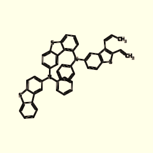 C=Cc1sc2ccc(N(c3ccccc3)c3cccc4sc5ccc(N(c6ccccc6)c6ccc7sc8ccccc8c7c6)cc5c34)cc2c1/C=C\C